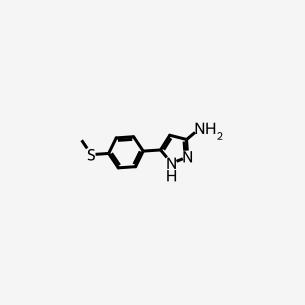 CSc1ccc(-c2cc(N)n[nH]2)cc1